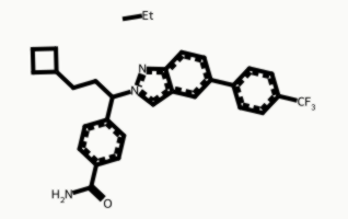 CCC.NC(=O)c1ccc(C(CCC2CCC2)n2cc3cc(-c4ccc(C(F)(F)F)cc4)ccc3n2)cc1